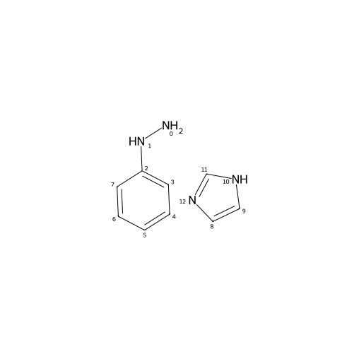 NNc1ccccc1.c1c[nH]cn1